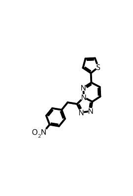 O=[N+]([O-])c1ccc(Cc2nnc3ccc(-c4cccs4)nn23)cc1